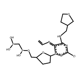 C=C/N=c1/c(NCC2CCOC2)nc(Cl)nn1C1CCC(COP(O)CP(O)O)O1